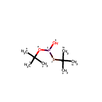 CC(C)(C)OP(O)SC(C)(C)C